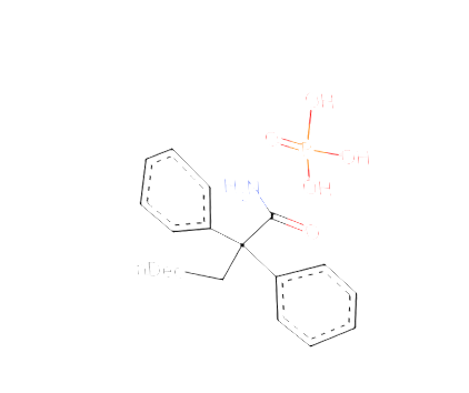 CCCCCCCCCCCC(C(N)=O)(c1ccccc1)c1ccccc1.O=P(O)(O)O